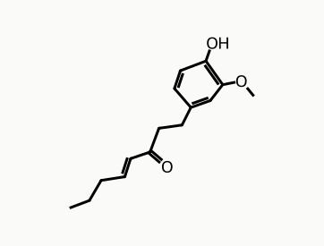 CCC/C=C/C(=O)CCc1ccc(O)c(OC)c1